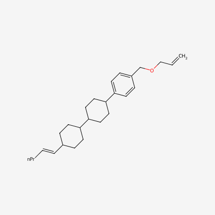 C=CCOCc1ccc(C2CCC(C3CCC(/C=C/CCC)CC3)CC2)cc1